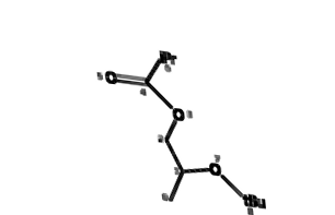 CC(COC(=O)C(C)C)OC(C)(C)C